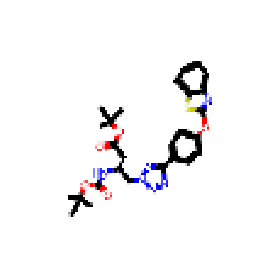 CC(C)(C)OC(=O)C[C@@H](Cn1nnc(-c2ccc(Oc3nc4ccccc4s3)cc2)n1)NC(=O)OC(C)(C)C